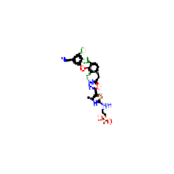 Cc1nc(NCCS(C)(=O)=O)sc1-c1nnc(Cc2ccc(Cl)c(Oc3cc(Cl)cc(C#N)c3)c2F)o1